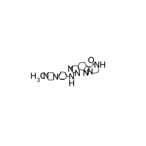 CN1CCN(c2ccc(Nc3ncc4c(n3)-c3nn5c(c3CC4)C(=O)NCCC5)cc2)CC1